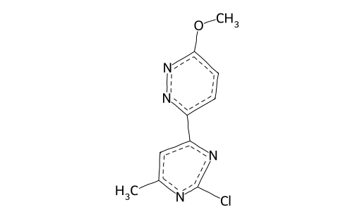 COc1ccc(-c2cc(C)nc(Cl)n2)nn1